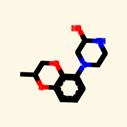 CC1COc2c(cccc2N2CCNC(O)C2)O1